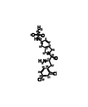 CS(=O)(=O)Nc1ccc2c(c1)CN(C(=O)C(N)Cc1ccc(Cl)cc1Cl)C2